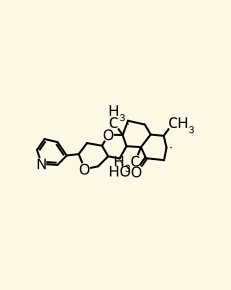 CC1[CH]CC(=O)C2(C)C1C[CH]C1(C)OC3CC(c4cccnc4)OCC3[C@@H](O)C12